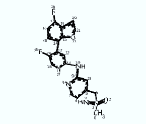 CS(=N)(=O)Cc1ccnc(Nc2cc(-c3ccc(F)c4ccoc34)c(F)cn2)c1